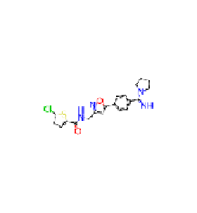 N=C(c1ccc(-c2cc(CNC(=O)C3=CCC(Cl)S3)no2)cc1)N1CCCC1